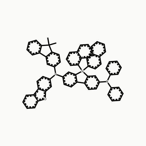 CC1(C)c2ccccc2-c2cc(N(c3ccc4c(c3)[Si](c3ccc5ccccc5c3)(c3cccc5ccccc35)c3cc(N(c5ccccc5)c5ccccc5)ccc3-4)c3ccc4c(c3)oc3ccccc34)ccc21